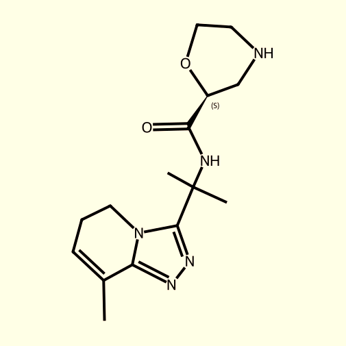 CC1=CCCn2c1nnc2C(C)(C)NC(=O)[C@@H]1CNCCO1